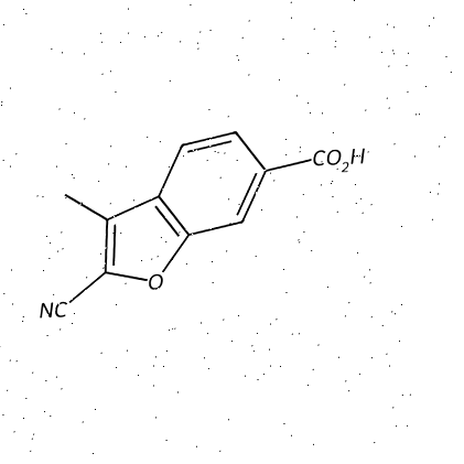 Cc1c(C#N)oc2cc(C(=O)O)ccc12